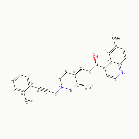 COc1ccc2nccc([C@H](O)CC[C@@H]3CCN(CC#Cc4ccccc4OC)C[C@@H]3C(=O)O)c2c1